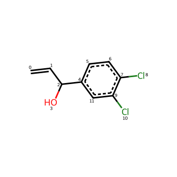 C=CC(O)c1ccc(Cl)c(Cl)c1